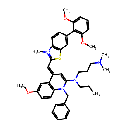 CCCN(CCCN(C)C)C1=CC(=Cc2sc3cc(-c4c(OC)cccc4OC)ccc3[n+]2C)c2cc(OC)ccc2N1Cc1ccccc1